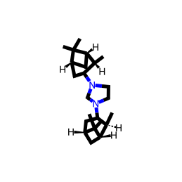 C[C@@H]1C(N2CCN(C3C[C@H]4C[C@@H]([C@@H]3C)C4(C)C)C2)C[C@H]2C[C@@H]1C2(C)C